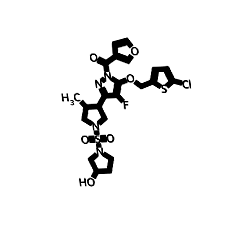 CC1CN(S(=O)(=O)N2CCC(O)C2)CC1c1nn(C(=O)c2ccoc2)c(OCc2ccc(Cl)s2)c1F